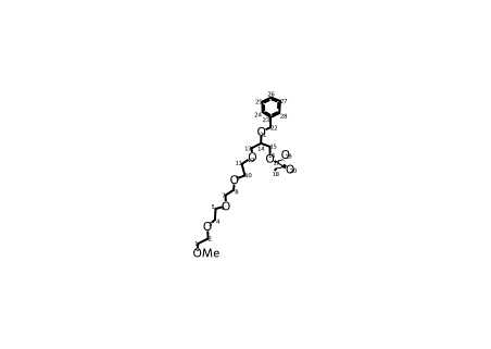 COCCOCCOCCOCCOCC(COS(C)(=O)=O)OCc1ccccc1